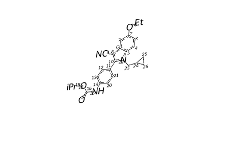 CCOc1ccc2c(c1)c(C#N)c(-c1ccc(NC(=O)OC(C)C)cc1)n2CC1CC1